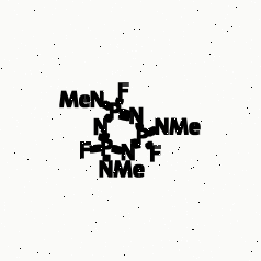 CNP1(F)=NP(F)(NC)=NP(F)(NC)=N1